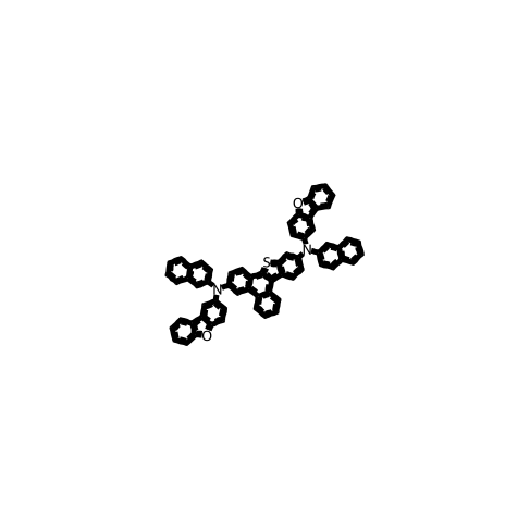 c1ccc2cc(N(c3ccc4c(c3)sc3c5ccc(N(c6ccc7ccccc7c6)c6ccc7oc8ccccc8c7c6)cc5c5ccccc5c43)c3ccc4oc5ccccc5c4c3)ccc2c1